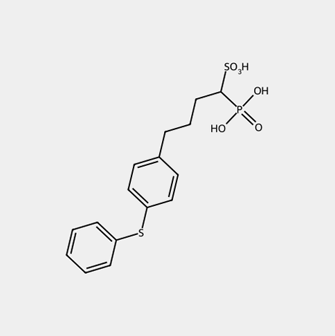 O=P(O)(O)C(CCCc1ccc(Sc2ccccc2)cc1)S(=O)(=O)O